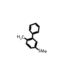 CSc1c[c]c(C)c(-c2ccccc2)c1